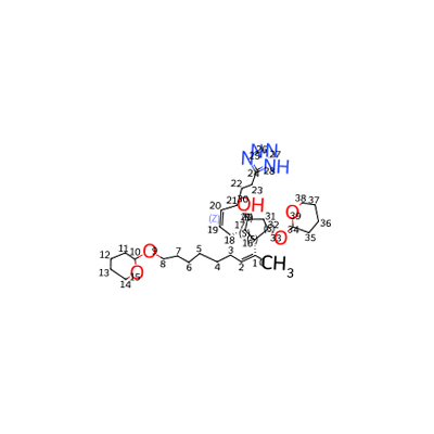 CC(=CCCCCCCOC1CCCCO1)[C@@H]1[C@H](C/C=C\CCCc2nnn[nH]2)[C@H](O)C[C@@H]1OC1CCCCO1